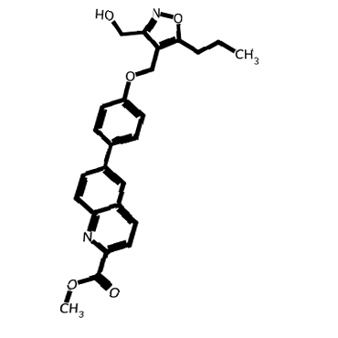 CCCc1onc(CO)c1COc1ccc(-c2ccc3nc(C(=O)OC)ccc3c2)cc1